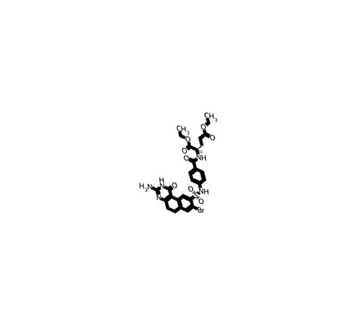 CCOC(=O)CC[C@H](NC(=O)c1ccc(NS(=O)(=O)c2cc3c(cc2Br)CCc2nc(N)[nH]c(=O)c2-3)cc1)C(=O)OCC